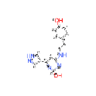 Oc1ccc(CCNc2cc(-c3cn[nH]c3)nc(O)n2)cc1